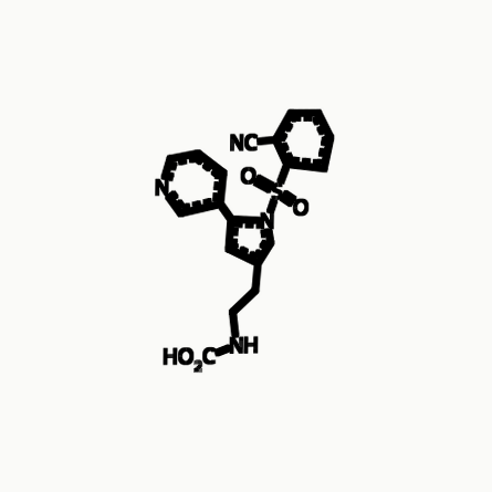 N#Cc1ccccc1S(=O)(=O)n1cc(CCNC(=O)O)cc1-c1cccnc1